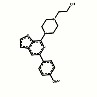 COc1ccc(-c2cc3ccsc3c(N3CCN(CCO)CC3)n2)cc1